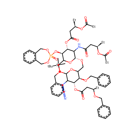 CCC(=O)O[C@H](CC)CC(=O)NC1[C@H](OCC2OC(O[Si](C)(C)C(C)(C)C)C(N=[N+]=[N-])[C@@H](OC(=O)C[C@@H](CC)OCc3ccccc3)[C@@H]2OCc2ccccc2)OC(COCc2ccccc2)[C@@H](OP2(=O)OCc3ccccc3CO2)[C@@H]1OC(=O)C[C@@H](CC)OC(=O)CC